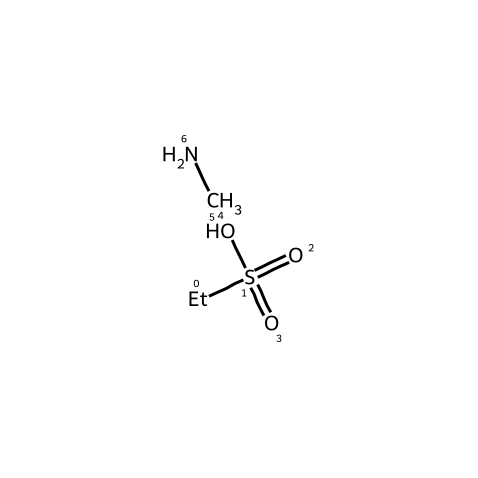 CCS(=O)(=O)O.CN